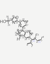 C=C(C)/C(=C(F)\C=C/C)c1cc2c(nn1)[C@@]1(c3cncc(-c4nc(C(C)(C)O)co4)n3)CC[C@@H]2C1(C)C